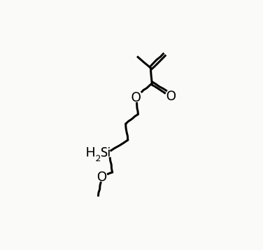 C=C(C)C(=O)OCCC[SiH2]COC